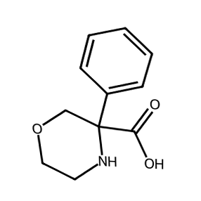 O=C(O)C1(c2ccccc2)COCCN1